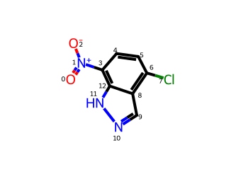 O=[N+]([O-])c1ccc(Cl)c2cn[nH]c12